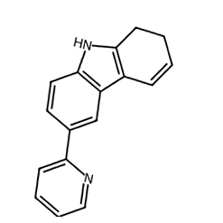 C1=Cc2c([nH]c3ccc(-c4ccccn4)cc23)CC1